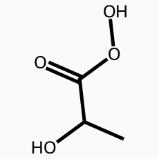 CC(O)C(=O)OO